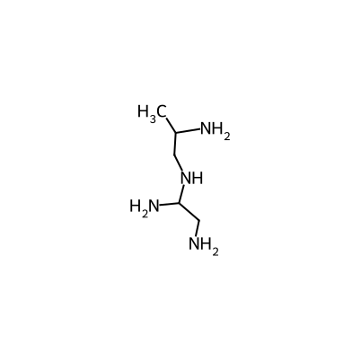 CC(N)CNC(N)CN